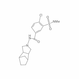 CNS(=O)(=O)c1cc(C(=O)NN2CC3C4CCC(C4)C3C2)ccc1Cl